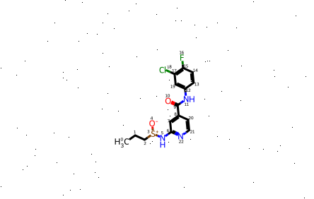 CCC[S+]([O-])Nc1cc(C(=O)Nc2ccc(F)c(Cl)c2)ccn1